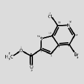 COC(=O)c1cc2c(Br)cnc(Cl)c2s1